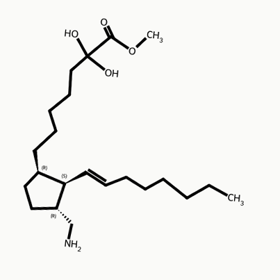 CCCCCCC=C[C@@H]1[C@H](CCCCCC(O)(O)C(=O)OC)CC[C@H]1CN